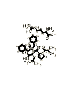 CC(C)C[C@@H](C(=O)O)N(C(=O)[C@@H]1CCCN1C(=O)[C@H](C)N)P(=O)(Cc1ccccc1)Cc1ccccc1.N=C(N)NCCC[C@H](N)C(=O)O